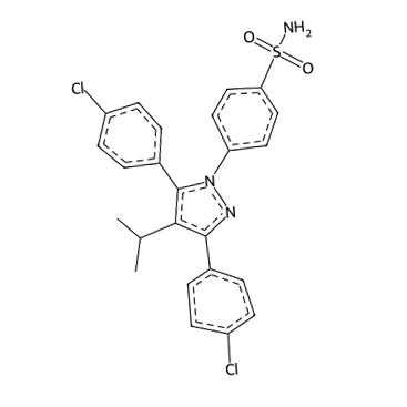 CC(C)c1c(-c2ccc(Cl)cc2)nn(-c2ccc(S(N)(=O)=O)cc2)c1-c1ccc(Cl)cc1